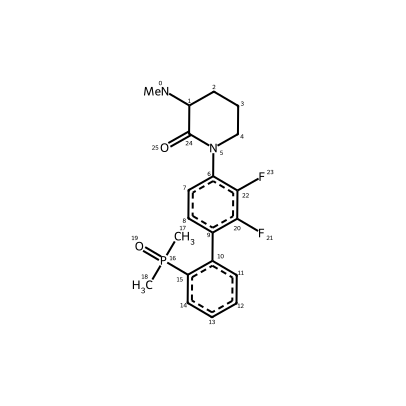 CNC1CCCN(c2ccc(-c3ccccc3P(C)(C)=O)c(F)c2F)C1=O